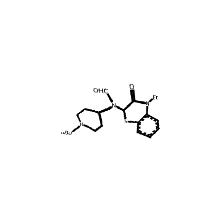 CCCCN1CCC(N(C=O)C2Sc3ccccc3N(CC)C2=O)CC1